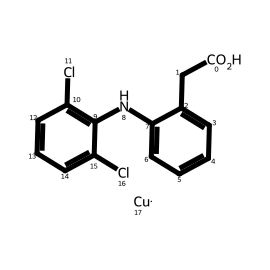 O=C(O)Cc1ccccc1Nc1c(Cl)cccc1Cl.[Cu]